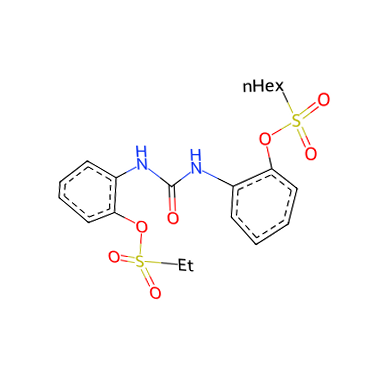 CCCCCCS(=O)(=O)Oc1ccccc1NC(=O)Nc1ccccc1OS(=O)(=O)CC